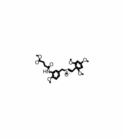 COC(=O)CCC(=O)Nc1cc(C[S+]([O-])/C=C/c2c(OC)cc(OC)cc2OC)ccc1OC